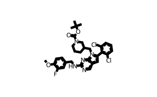 COc1ccc(CNc2ncc3cc(-c4c(Cl)cccc4Cl)n(CC4CCCN(C(=O)OC(C)(C)C)C4)c3n2)cc1F